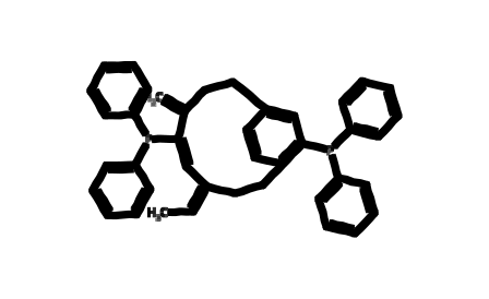 C=C1CCc2ccc(c(P(c3ccccc3)c3ccccc3)c2)CCC(=C/C)/C=C\1P(c1ccccc1)c1ccccc1